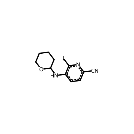 N#Cc1ccc(NC2CCCCO2)c(I)n1